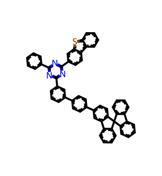 c1ccc(-c2nc(-c3cccc(-c4ccc(-c5ccc6c(c5)-c5ccccc5C65c6ccccc6-c6ccccc65)cc4)c3)nc(-c3ccc4c(c3)sc3ccccc34)n2)cc1